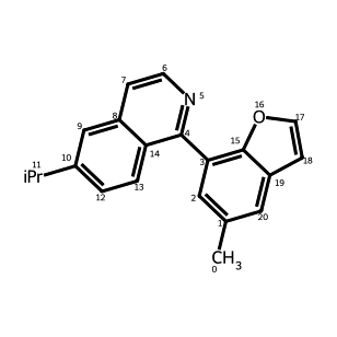 Cc1cc(-c2nccc3cc(C(C)C)ccc23)c2occc2c1